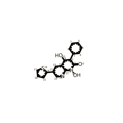 O=c1c(-c2ccccc2)c(O)c2cc(-c3cccs3)cnc2n1O